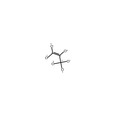 ClC(Cl)=C(Cl)C(Cl)(Cl)Cl